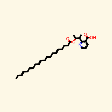 CCC=CCC=CCC=CCC=CCC=CCCCC(=O)OC(C)C(C)c1ncccc1C(=O)O